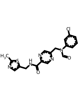 Cc1ncc(CNC(=O)c2cnc(CN(C=O)c3cccc(Cl)c3)cn2)s1